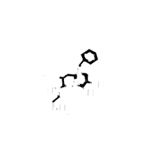 Cc1nc([CH]C(C)C(=O)NCCN)n(Cc2ccccc2)c(=O)c1C